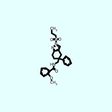 CCCS(=O)(=O)n1cc2c(n1)CCC(CNC(=O)c1ccccc1OC)(c1ccccc1)C2